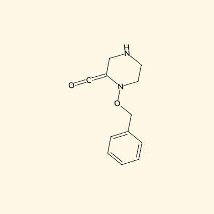 O=C=C1CNCCN1OCc1ccccc1